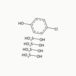 O=S(=O)(O)O.O=S(=O)(O)O.O=S(=O)(O)O.O=S(=O)(O)O.Oc1ccc(Cl)cc1